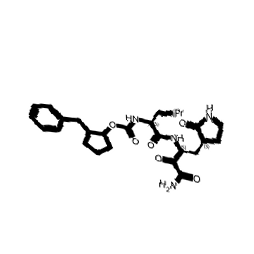 CC(C)C[C@H](NC(=O)OC1CCCC1Cc1ccccc1)C(=O)N[C@@H](C[C@@H]1CCNC1=O)C(=O)C(N)=O